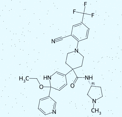 CCOC1(c2cccnc2)C=CC(C2(C(=O)N[C@@H]3CCN(C)C3)CCN(c3ccc(C(F)(F)F)cc3C#N)CC2)=CN1